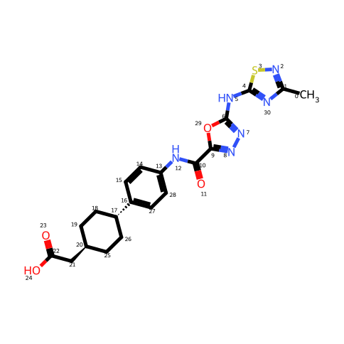 Cc1nsc(Nc2nnc(C(=O)Nc3ccc([C@H]4CC[C@H](CC(=O)O)CC4)cc3)o2)n1